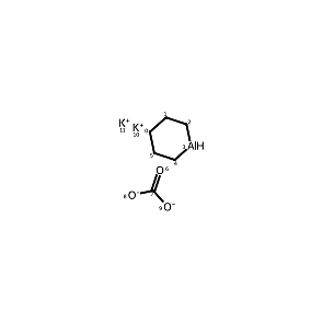 C1C[CH2][AlH][CH2]C1.O=C([O-])[O-].[K+].[K+]